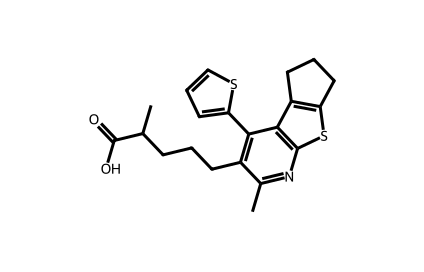 Cc1nc2sc3c(c2c(-c2cccs2)c1CCCC(C)C(=O)O)CCC3